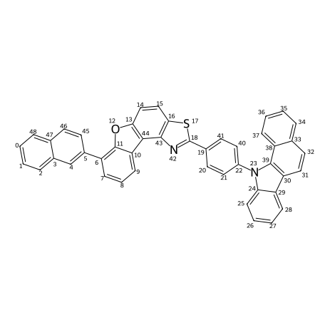 c1ccc2cc(-c3cccc4c3oc3ccc5sc(-c6ccc(-n7c8ccccc8c8ccc9ccccc9c87)cc6)nc5c34)ccc2c1